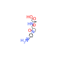 C#CC(CC(=O)O)NC(=O)CC1CCCN(c2ccc(C=NN)cc2)C1=O